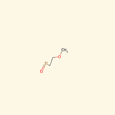 COCC[S+]=O